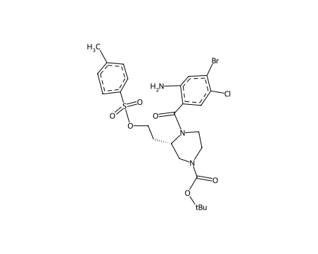 Cc1ccc(S(=O)(=O)OCC[C@H]2CN(C(=O)OC(C)(C)C)CCN2C(=O)c2cc(Cl)c(Br)cc2N)cc1